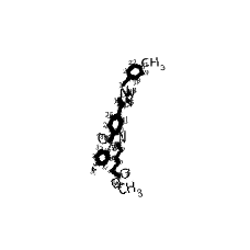 COC(=O)CCCCc1nc2cc(-c3cn(CC4=CCC(C)C=C4)nn3)ccc2c(=O)n1-c1ccc(F)cc1